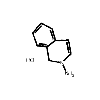 Cl.NN1C=Cc2ccccc2C1